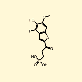 COc1cc2sc(C(=O)CCP(=O)(O)O)cc2c(F)c1O